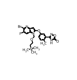 Cc1ccc(Oc2cc3nc(Br)c(F)cc3n2COCC[Si](C)(C)C)cc1-c1noc(=O)[nH]1